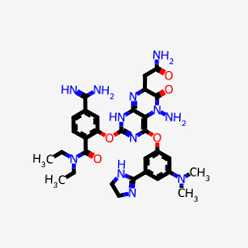 CCN(CC)C(=O)c1ccc(C(=N)N)cc1OC1=NC(Oc2cc(C3=NCCN3)cc(N(C)C)c2)=C2C(=NC(CC(N)=O)C(=O)N2N)N1